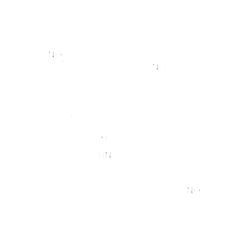 O=[N+]([O-])c1ccc(CCNN(CCOc2ccc([N+](=O)[O-])cc2)CCc2ccc([N+](=O)[O-])cc2)cc1